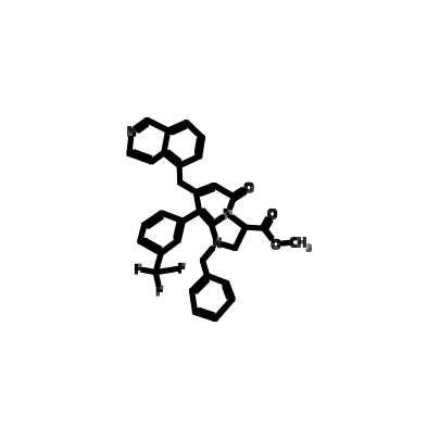 COC(=O)C1CN(Cc2ccccc2)c2c(-c3cccc(C(F)(F)F)c3)c(Cc3cccc4cnccc34)cc(=O)n21